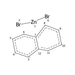 [Br][Zn][Br].[c]1cccc2ccccc12